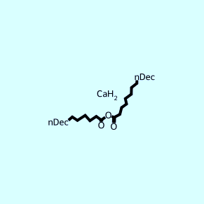 CCCCCCCCCCCCCCCCCC(=O)OC(=O)CCCCCCCCCCCCCCC.[CaH2]